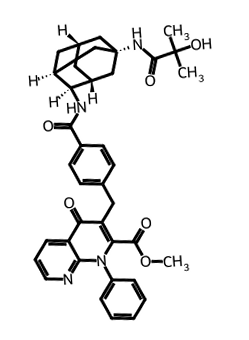 COC(=O)c1c(Cc2ccc(C(=O)N[C@@H]3[C@@H]4C[C@@H]5C[C@H]3C[C@@](NC(=O)C(C)(C)O)(C5)C4)cc2)c(=O)c2cccnc2n1-c1ccccc1